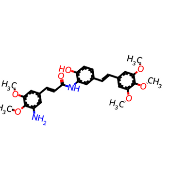 COc1cc(/C=C/C(=O)Nc2cc(/C=C/c3cc(OC)c(OC)c(OC)c3)ccc2O)cc(N)c1OC